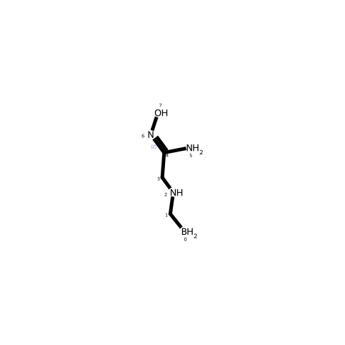 BCNC/C(N)=N/O